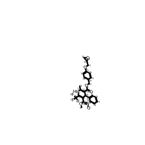 COC(=O)C1=C(C(F)(F)F)NC(C)=C(C(=O)OCc2ccc(OCC3CO3)cc2)C1c1ccccc1[N+](=O)[O-]